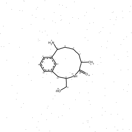 CC1CCCC(N)c2cccc(c2)CC(CO)NC1=O